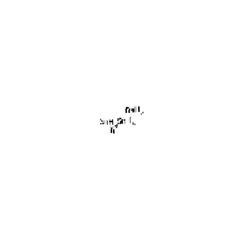 [BaH2].[SnH4].[SnH4].[Ti]